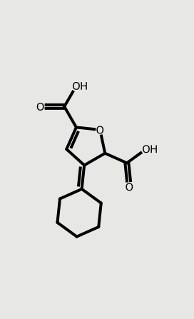 O=C(O)C1=CC(=C2CCCCC2)C(C(=O)O)O1